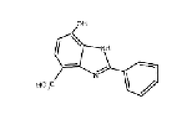 O=C(O)c1ccc(O)c2[nH]c(-c3ccccc3)nc12